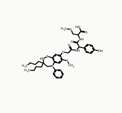 CCCCC1(CCCC)CN(c2ccccc2)c2cc(SC)c(OCC(=O)NC(C(=O)NC(CSC)C(=O)O)c3ccc(O)cc3)cc2SN1